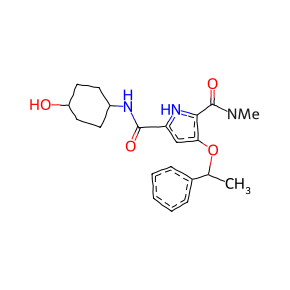 CNC(=O)c1[nH]c(C(=O)NC2CCC(O)CC2)cc1OC(C)c1ccccc1